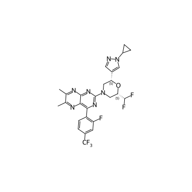 Cc1nc2nc(N3C[C@@H](C(F)F)O[C@@H](c4cnn(C5CC5)c4)C3)nc(-c3ccc(C(F)(F)F)cc3F)c2nc1C